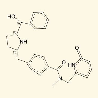 CN(Cc1cccc(=O)[nH]1)C(=O)c1ccc(C[C@@H]2CC[C@H]([C@H](O)c3ccccc3)N2)cc1